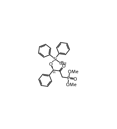 COP(=O)(CC(=O)[C@H](O[Si](c1ccccc1)(c1ccccc1)C(C)(C)C)c1ccccc1)OC